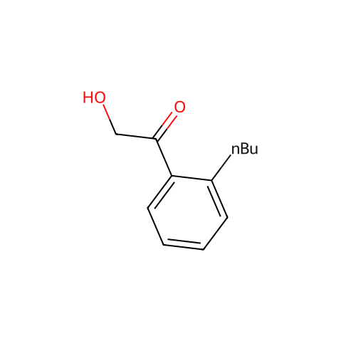 CCCCc1ccccc1C(=O)CO